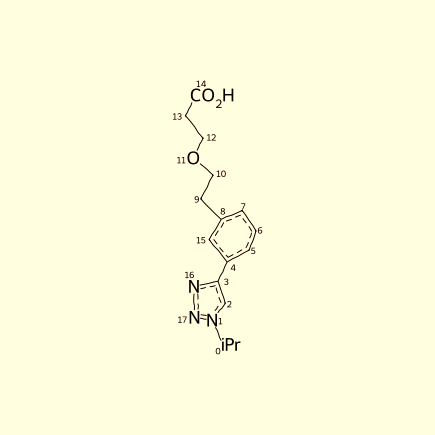 CC(C)n1cc(-c2cccc(CCOCCC(=O)O)c2)nn1